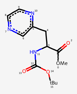 COC(=O)C(Cc1cnccn1)NC(=O)OC(C)(C)C